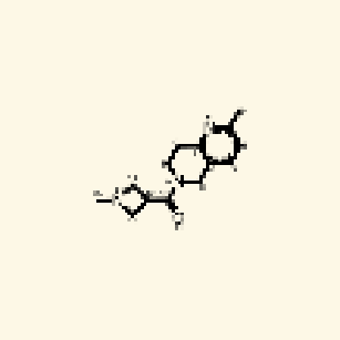 Cc1ccc2c(n1)CCN(C(=O)C1CN(C)C1)C2